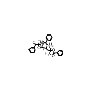 CC(C)(CC(COC(C)(C)C(=O)c1ccccc1)OC(=O)c1ccccc1)OC(=O)c1ccccc1